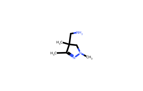 CC1=NN(C)CC1(C)CN